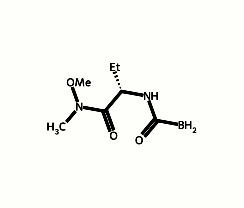 BC(=O)N[C@@H](CC)C(=O)N(C)OC